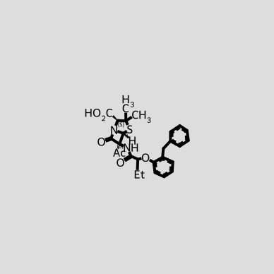 CCC(Oc1ccccc1Cc1ccccc1)C(=O)N[C@@]1(C(C)=O)C(=O)N2[C@@H](C(=O)O)C(C)(C)S[C@@H]21